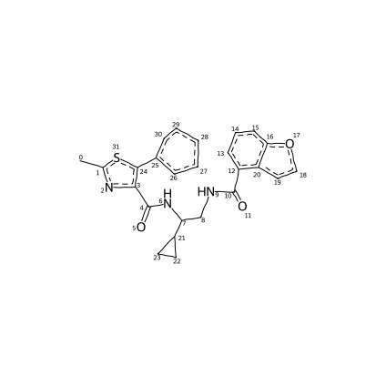 Cc1nc(C(=O)NC(CNC(=O)c2cccc3occc23)C2CC2)c(-c2ccccc2)s1